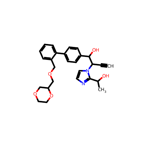 C#CC(C(O)c1ccc(-c2ccccc2COCC2COCCO2)cc1)n1ccnc1C(C)O